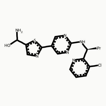 CC(C)[C@H](Nc1ncc(-c2ncc(C(N)O)s2)cn1)c1ncccc1Cl